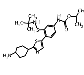 CC(C)OC(=O)Nc1ccc(-c2cnc(C3CCC(N)CC3)s2)c(SNC(C)(C)C)c1